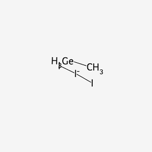 I[I-]I.[CH3][GeH3]